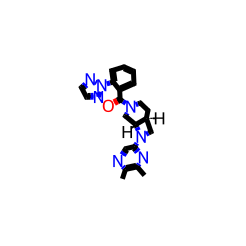 Cc1ncc(N2C[C@@H]3CCN(C(=O)c4ccccc4-n4nccn4)C[C@@H]32)nc1C